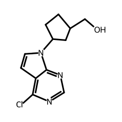 OCC1CCC(n2ccc3c(Cl)ncnc32)C1